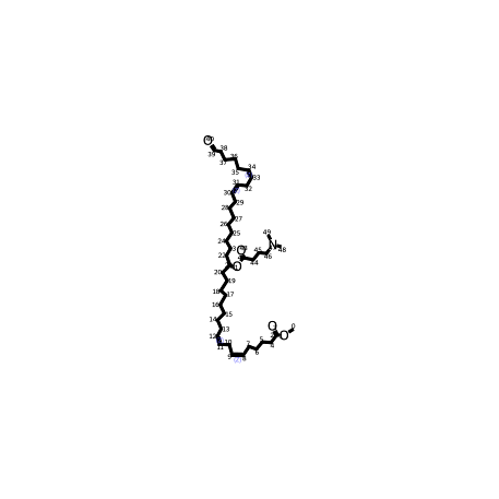 COC(=O)CCCC/C=C\C/C=C\CCCCCCCCC(CCCCCCCC/C=C\C/C=C\CCCCC=O)OC(=O)CCCN(C)C